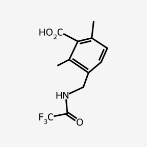 Cc1ccc(CNC(=O)C(F)(F)F)c(C)c1C(=O)O